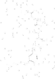 COCCCOc1cc(C[C@@H](C[C@H](N)[C@@H](O)C[C@H](C(=O)NCC(N)=O)C(C)C)C(C)C)ccc1OC